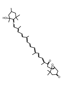 C\C(C=C=C1C(C)(C)CC(C)CC1(C)O)=C/C=C/C(C)=C/C=C/C=C(C)/C=C/C=C(\C)C(=O)CC12OC1(C)CC(=O)CC2(C)C